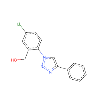 OCc1cc(Cl)ccc1-n1cc(-c2ccccc2)nn1